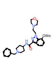 COc1cccc2c(C(=O)NC3CCN(Cc4ccccc4)CC3)nn(CCN3CCOCC3)c12